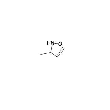 CC1C=CON1